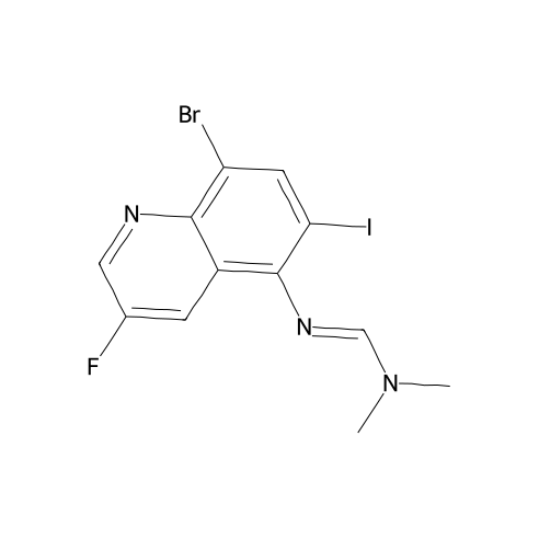 CN(C)/C=N/c1c(I)cc(Br)c2ncc(F)cc12